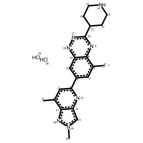 Cc1cc(-c2cc(F)c3nc(C4CCNCC4)nnc3c2)nc2cn(C)nc12.Cl.Cl